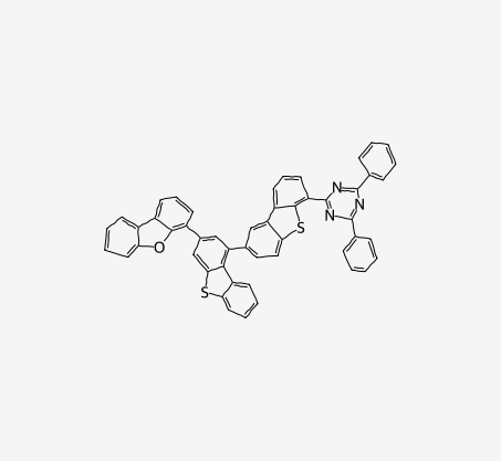 c1ccc(-c2nc(-c3ccccc3)nc(-c3cccc4c3sc3ccc(-c5cc(-c6cccc7c6oc6ccccc67)cc6sc7ccccc7c56)cc34)n2)cc1